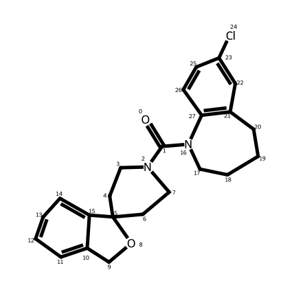 O=C(N1CCC2(CC1)OCc1ccccc12)N1CCCCc2cc(Cl)ccc21